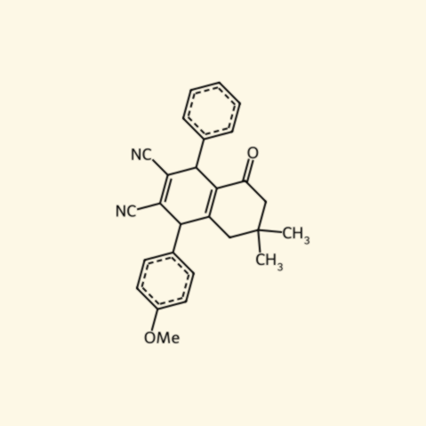 COc1ccc(C2C(C#N)=C(C#N)C(c3ccccc3)C3=C2CC(C)(C)CC3=O)cc1